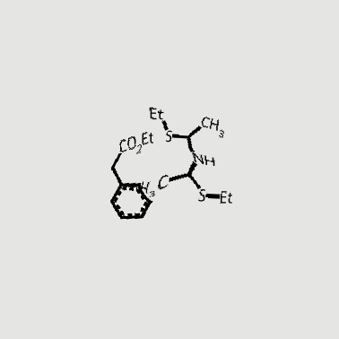 CCOC(=O)Cc1ccccc1.CCSC(C)NC(C)SCC